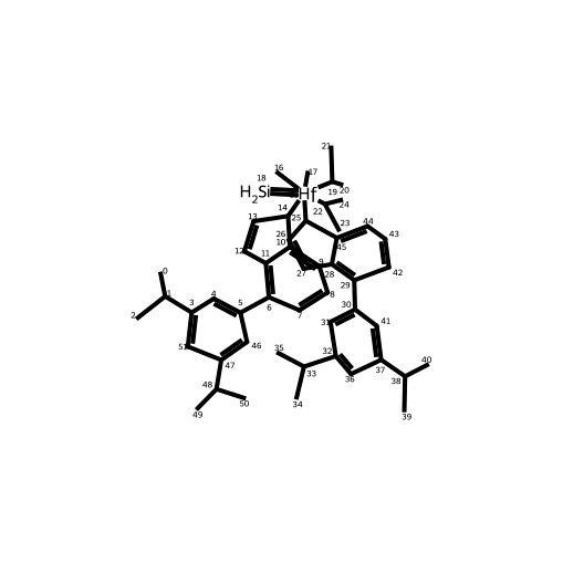 CC(C)c1cc(-c2cccc3c2C=C[CH]3[Hf]([CH3])([CH3])(=[SiH2])([CH](C)C)([CH](C)C)[CH]2C=Cc3c(-c4cc(C(C)C)cc(C(C)C)c4)cccc32)cc(C(C)C)c1